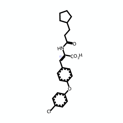 O=C(CCC1CCCC1)N/C(=C/c1ccc(Oc2ccc(Cl)cc2)cc1)C(=O)O